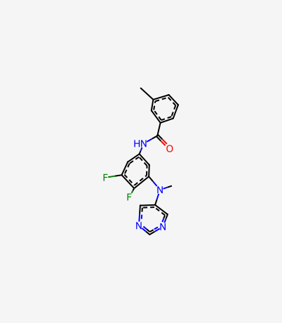 Cc1cccc(C(=O)Nc2cc(F)c(F)c(N(C)c3cncnc3)c2)c1